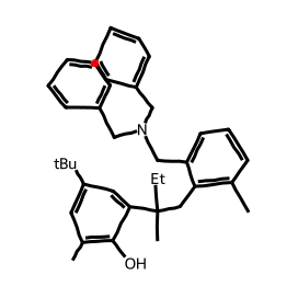 CCC(C)(Cc1c(C)cccc1CN(Cc1ccccc1)Cc1ccccc1)c1cc(C(C)(C)C)cc(C)c1O